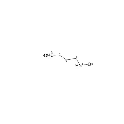 [O]NCCC[C]=O